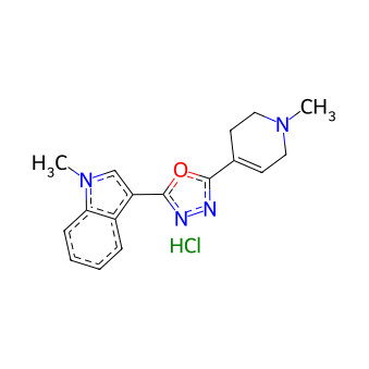 CN1CC=C(c2nnc(-c3cn(C)c4ccccc34)o2)CC1.Cl